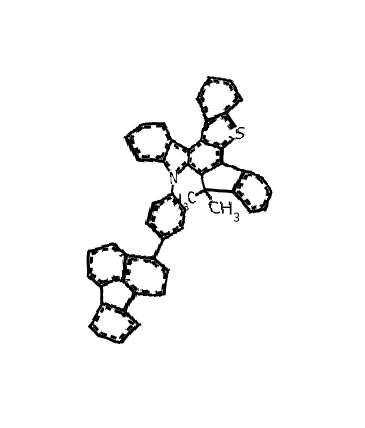 CC1(C)c2ccccc2-c2c1c1c(c3ccccc3n1-c1ccc(-c3ccc4c5c(cccc35)-c3ccccc3-4)cc1)c1c2sc2ccccc21